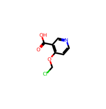 O=C(O)c1cnccc1OCCl